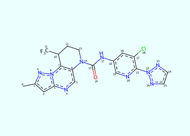 Cc1cc2ncc3c(n2n1)C(C(F)(F)F)CCN3C(=O)Nc1cnc(-n2nccn2)c(Cl)c1